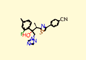 Cc1ccc([C@@](O)(Cn2cncn2)[C@@H](C)c2nc(-c3ccc(C#N)cc3)cs2)c(F)c1